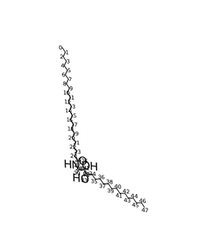 CCCCCCCCCCCCCCCCCCCCCCCCCC(=O)NC(C)C(O)[C@H](O)CCCCCCCCCCCCCC